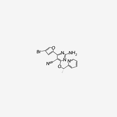 C[C@H](Oc1nc(N)nc(-c2cc(Br)co2)c1C#N)c1ccccn1